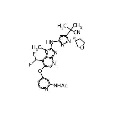 CC(=O)Nc1cc(Oc2cnc3nc(Nc4cc(C(C)(C)C#N)n([C@@H]5CCOC5)n4)n(C)c3c2C(F)F)ccn1